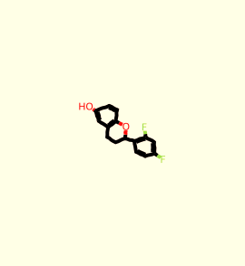 Oc1ccc2c(c1)CCC(c1ccc(F)cc1F)O2